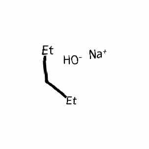 [CH2]CCCC.[Na+].[OH-]